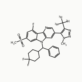 [2H]C([2H])([2H])c1nnn(C)c1-c1cnc2c3c(F)cc(S(C)(=O)=O)cc3n(C(c3ccccc3)C3CCC(F)(F)CC3)c2c1